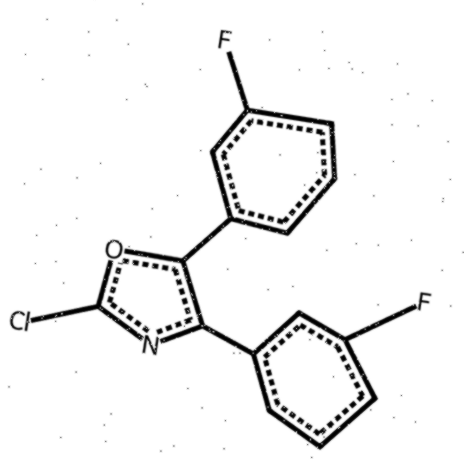 Fc1cccc(-c2nc(Cl)oc2-c2cccc(F)c2)c1